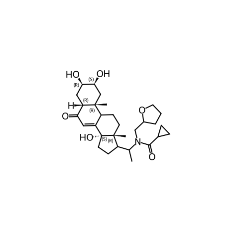 CC(C1CC[C@@]2(O)C3=CC(=O)[C@@H]4C[C@@H](O)[C@@H](O)C[C@]4(C)C3CC[C@]12C)N(CC1CCCO1)C(=O)C1CC1